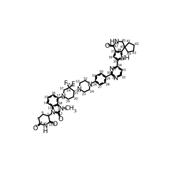 Cn1c(=O)n(C2CCC(=O)NC2=O)c2cccc(N3CC[C@@H](N4CCN(c5ccc(-c6nccc(-c7cc8c([nH]7)C7(CCCC7)CNC8=O)n6)cc5)CC4)C(F)(F)C3)c21